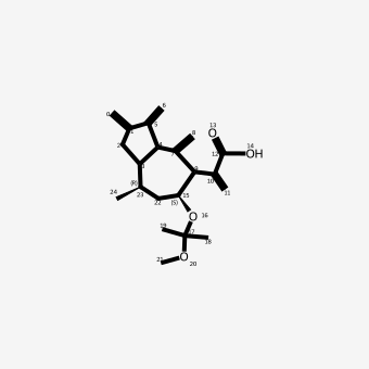 C=C1CC2C(C1=C)C(=C)C(C(=C)C(=O)O)[C@@H](OC(C)(C)OC)C[C@H]2C